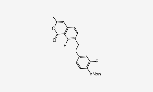 CCCCCCCCCc1ccc(CCc2ccc3cc(C)oc(=O)c3c2F)cc1F